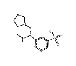 CN[C@H](CN1CCCC1)c1cccc(S(=O)(=O)Cl)c1